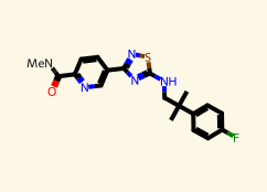 CNC(=O)c1ccc(-c2nsc(NCC(C)(C)c3ccc(F)cc3)n2)cn1